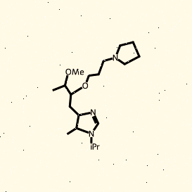 COC(C)C(CC1N=CN(C(C)C)C1C)OCCCN1CCCC1